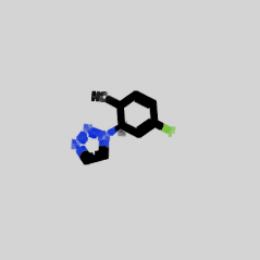 N#CC1C=CC(F)=C[C@H]1n1ccnn1